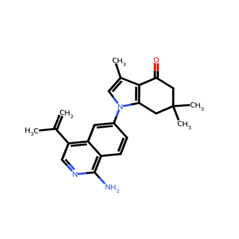 C=C(C)c1cnc(N)c2ccc(-n3cc(C)c4c3CC(C)(C)CC4=O)cc12